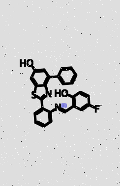 Oc1cc(-c2ccccc2)c2nc(-c3ccccc3/N=C/c3cc(F)ccc3O)sc2c1